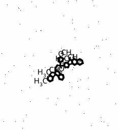 COc1ccc(C2(c3ccc4c(c3)C(C)(C)c3cc5ccccc5cc3-4)C=Cc3c4c(c5ccccc5c3O2)-c2ccc(C)cc2C4(C)C)cc1